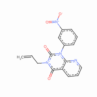 C=CCn1c(=O)c2cccnc2n(-c2cccc([N+](=O)[O-])c2)c1=O